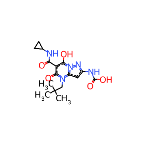 CC(C)(C)Cn1c(=O)c(C(=O)NC2CC2)c(O)n2nc(NC(=O)O)cc12